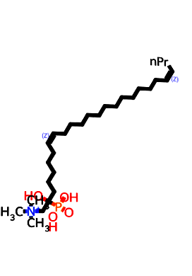 CCC/C=C\CCCCCCCCCCCC/C=C\CCCCCC(O)(C[N+](C)(C)C)P(=O)(O)O